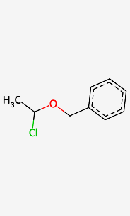 CC(Cl)OCc1ccccc1